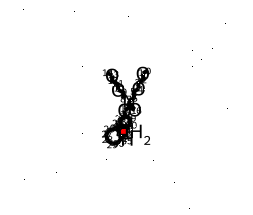 COCCOCCN(CCOCCOC)C(=O)Oc1ccc2c(c1)[C@@]1(C)CCCCC[C@@H](C2)[C@@H]1N